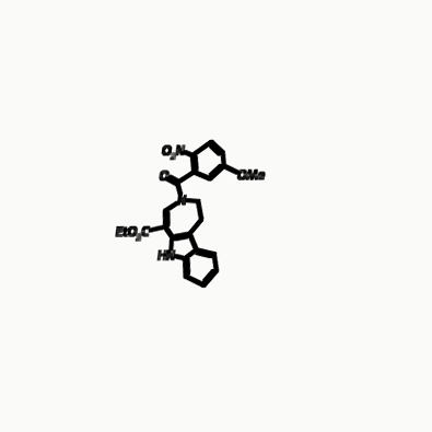 CCOC(=O)C1=CN(C(=O)c2cc(OC)ccc2[N+](=O)[O-])CCc2c1[nH]c1ccccc21